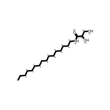 CCCCCCCCCCCCCCCCNC(=O)C(O)CO